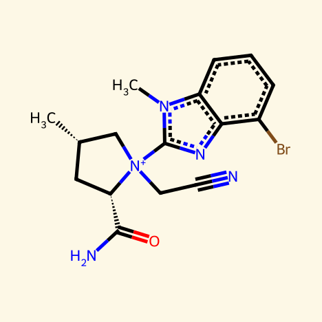 C[C@H]1C[C@@H](C(N)=O)[N+](CC#N)(c2nc3c(Br)cccc3n2C)C1